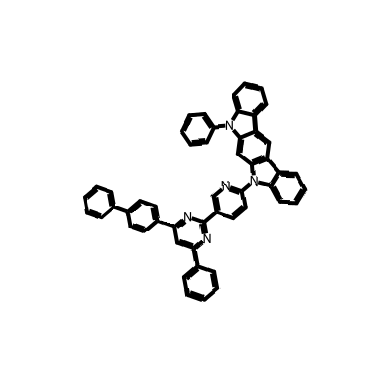 c1ccc(-c2ccc(-c3cc(-c4ccccc4)nc(-c4ccc(-n5c6ccccc6c6cc7c8ccccc8n(-c8ccccc8)c7cc65)nc4)n3)cc2)cc1